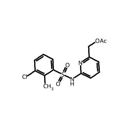 CC(=O)OCc1cccc(NS(=O)(=O)c2cccc(Cl)c2C)n1